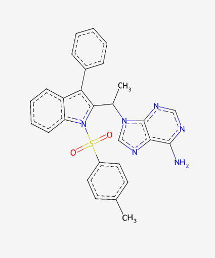 Cc1ccc(S(=O)(=O)n2c(C(C)n3cnc4c(N)ncnc43)c(-c3ccccc3)c3ccccc32)cc1